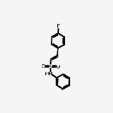 O=S(=O)(/C=C/c1ccc(F)cc1)Nc1ccccc1